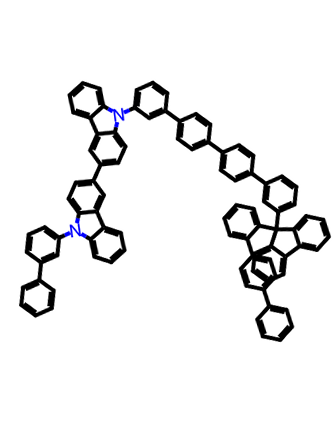 c1ccc(-c2ccc(-c3ccccc3C3(c4cccc(-c5ccc(-c6ccc(-c7cccc(-n8c9ccccc9c9cc(-c%10ccc%11c(c%10)c%10ccccc%10n%11-c%10cccc(-c%11ccccc%11)c%10)ccc98)c7)cc6)cc5)c4)c4ccccc4-c4ccccc43)cc2)cc1